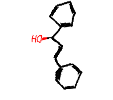 O[C@H](C=Cc1ccccc1)c1ccccc1